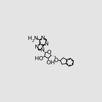 Nc1ncnc2c1ncn2[C@@H]1O[C@H](COC2Cc3ccccc3C2)[C@@H](O)[C@H]1O